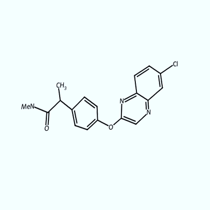 CNC(=O)C(C)c1ccc(Oc2cnc3cc(Cl)ccc3n2)cc1